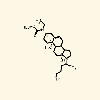 CC(C)CCCC(C)[C@H]1CCC2C3CC=C4C[C@@H](N(CN)C(=O)OC(C)(C)C)CC[C@]4(C)C3CC[C@@]21C